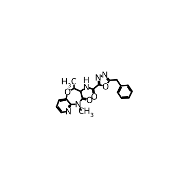 CC1Oc2cccnc2N(C)C(=O)C1NC(=O)c1nnc(Cc2ccccc2)o1